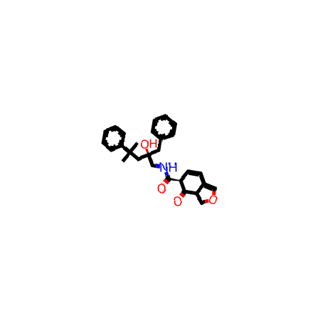 CC(C)(C[C@@](O)(CNC(=O)[C@H]1C=CC2=COCC2C1=O)Cc1ccccc1)c1ccccc1